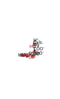 O=C([O-])[O-].O=C([O-])[O-].O=C([O-])[O-].O=C([O-])[O-].[Al+3].[Ca+2].[H+].[H+].[Mg+2].[Mg+2].[OH-].[OH-].[OH-]